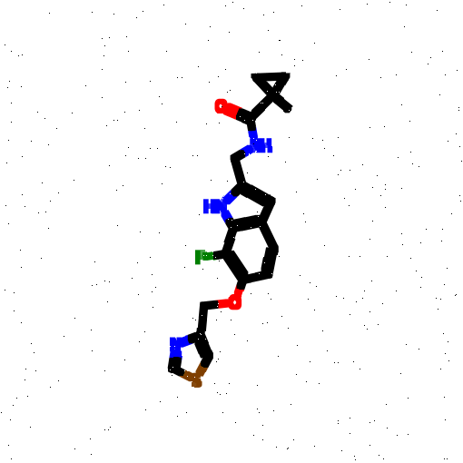 CC1(C(=O)NCc2cc3ccc(OCc4cscn4)c(F)c3[nH]2)CC1